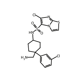 NCC1(c2cccc(Cl)c2)CCC(NS(=O)(=O)c2c(Cl)nc3sccn23)CC1